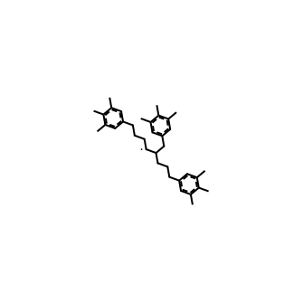 Cc1cc(CCC[CH]C(CCCc2cc(C)c(C)c(C)c2)Cc2cc(C)c(C)c(C)c2)cc(C)c1C